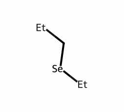 CCC[Se]CC